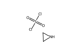 C1CN1.O=S(=O)(Cl)Cl